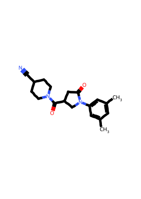 Cc1cc(C)cc(N2CC(C(=O)N3CCC(C#N)CC3)CC2=O)c1